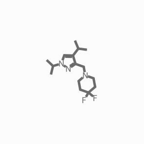 CC(C)c1cn(C(C)C)nc1CN1CCC(F)(F)CC1